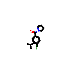 CC(C)c1cc(C(=O)N2CCCC2)ccc1F